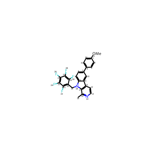 COc1ccc(-c2ccc3c(c2)c2ccnc(C)c2n3Cc2c(F)c(F)c(F)c(F)c2F)cc1